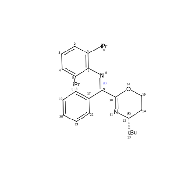 CC(C)c1cccc(C(C)C)c1/N=C(/C1=N[C@@H](C(C)(C)C)CCO1)c1ccccc1